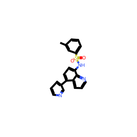 Cc1cccc(S(=O)(=O)Nc2ccc(-c3cccnc3)c3cccnc23)c1